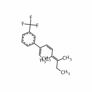 C\C=C(/C=C\C(C)=C(/C)CC)c1cccc(C(F)(F)F)c1